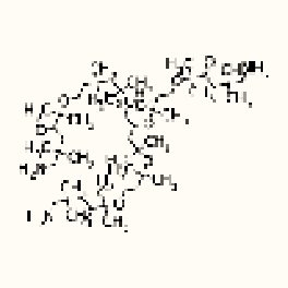 CC(C)(CN)CC(=O)C(C)(C)OCCC(C)(C)CC(C)(C)OCC(CC(C)(C)OC(C)(C)CCOC(C)(C)C(=O)CC(C)(C)CN)OC(C)(C)CCOC(C)(C)C(=O)CC(C)(C)CN